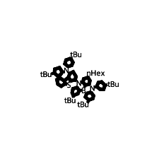 CCCCCCc1cc2c3c(c1)N(c1ccc(N(c4ccc(C(C)(C)C)cc4)c4ccc(C(C)(C)C)cc4)c4c1sc1ccccc14)c1ccc(C(C)(C)C)cc1B3c1cc(C(C)(C)C)ccc1N2c1ccc(C(C)(C)C)cc1